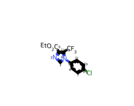 CCOC(=O)c1ncn(-c2ccc(Cl)cc2)c1C(F)(F)F